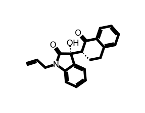 C=CCN1C(=O)[C@@](O)([C@H]2CCc3ccccc3C2=O)c2ccccc21